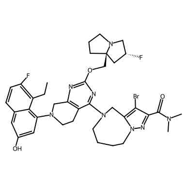 CCc1c(F)ccc2cc(O)cc(N3CCc4c(nc(OC[C@@]56CCCN5C[C@H](F)C6)nc4N4CCCCn5nc(C(=O)N(C)C)c(Br)c5C4)C3)c12